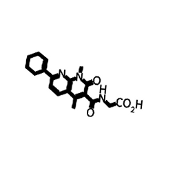 Cc1c(C(=O)NCC(=O)O)c(=O)n(C)c2nc(C3=CCCCC3)ccc12